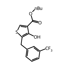 CCCCOC(=O)c1csc(Cc2cccc(C(F)(F)F)c2)c1O